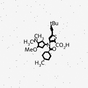 COC1CC(N(c2cc(C#CC(C)(C)C)sc2C(=O)O)C(=O)[C@H]2CC[C@H](C)CC2)CC1N(C)C